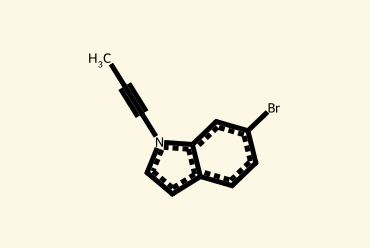 CC#Cn1ccc2ccc(Br)cc21